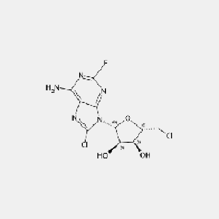 Nc1nc(F)nc2c1nc(Cl)n2[C@@H]1O[C@H](CCl)[C@@H](O)[C@H]1O